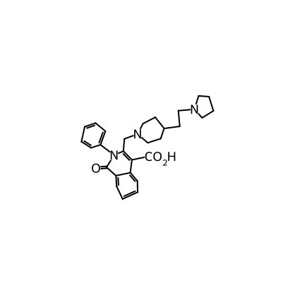 O=C(O)c1c(CN2CCC(CCN3CCCC3)CC2)n(-c2ccccc2)c(=O)c2ccccc12